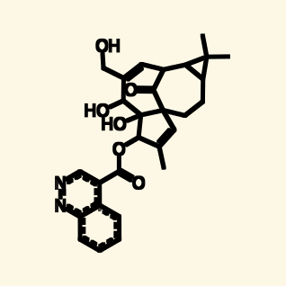 CC1=CC23CCC4C(C(C=C(CO)C(O)C2(O)C1OC(=O)c1cnnc2ccccc12)C3=O)C4(C)C